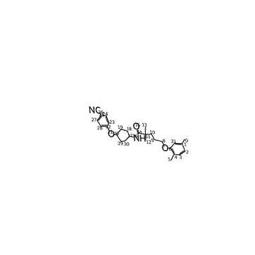 Cc1ccc(C)c(OCCCC(C)(C)C(=O)NC2CCC(Oc3ccc(C#N)cc3)CC2)c1